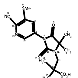 CSc1cc(N2C(=O)C(C)(C)N(CC(C)(C)C(=O)O)C2=S)cnc1C#N